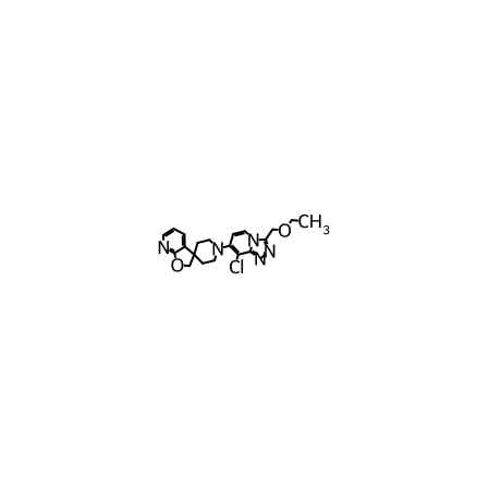 CCOCc1nnc2c(Cl)c(N3CCC4(CC3)COc3ncccc34)ccn12